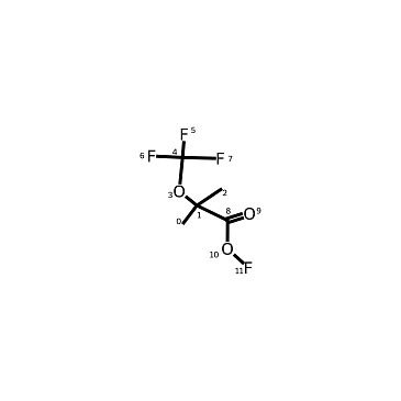 CC(C)(OC(F)(F)F)C(=O)OF